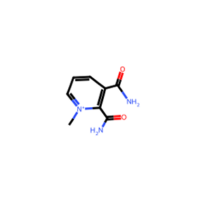 C[n+]1cccc(C(N)=O)c1C(N)=O